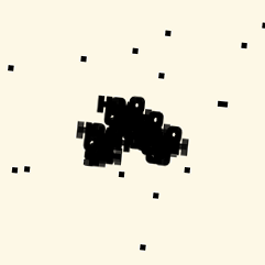 O=CC(O)C(O)C(=O)S(=O)(=O)[O-].O=CC(O)C(O)C(=O)S(=O)(=O)[O-].O=CC(O)C(O)C(=O)S(=O)(=O)[O-].O=CC(O)C(O)C(=O)S(=O)(=O)[O-].[NaH].[Sn+4]